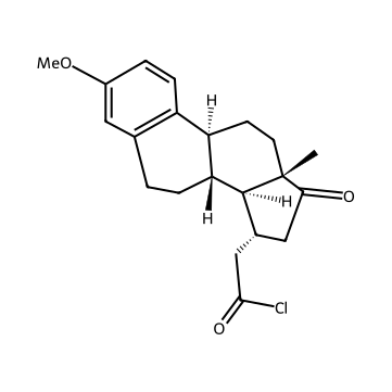 COc1ccc2c(c1)CC[C@H]1[C@@H]3[C@@H](CC(=O)Cl)CC(=O)[C@@]3(C)CC[C@H]21